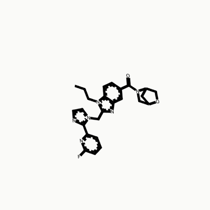 CCCn1c(Cn2ccnc2-c2cccc(F)n2)nc2cc(C(=O)N3CC4CC3CO4)ccc21